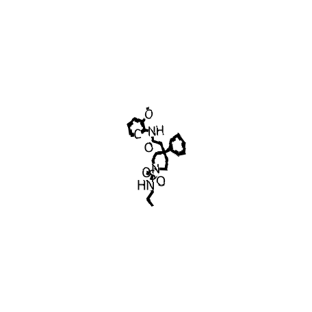 CCCNS(=O)(=O)N1CCC(CC(=O)Nc2ccccc2OC)(c2ccccc2)CC1